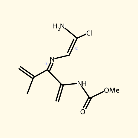 C=C(C)/C(=N/C=C(\N)Cl)C(=C)NC(=O)OC